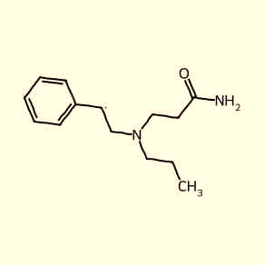 CCCN(C[CH]c1ccccc1)CCC(N)=O